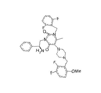 COc1ccc(F)c(F)c1CN1CCN(c2c(C)n(Cc3c(F)cccc3F)c(=O)n(C[C@@H](N)c3ccccc3)c2=O)CC1